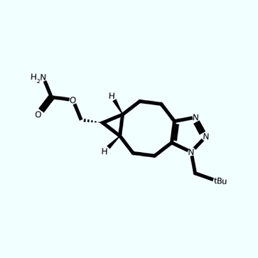 CC(C)(C)Cn1nnc2c1CC[C@H]1[C@@H](CC2)[C@H]1COC(N)=O